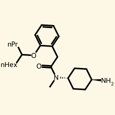 CCCCCCC(CCC)Oc1ccccc1CC(=O)N(C)[C@H]1CC[C@H](N)CC1